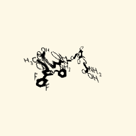 CC(C)(C)C(c1cc(-c2cc(F)ccc2F)cn1Cc1ccccc1)N(CCC(N)C(=O)NCCOCCN1C(=O)CC(SC[C@H](N)C(=O)O)C1=O)C(=O)CO